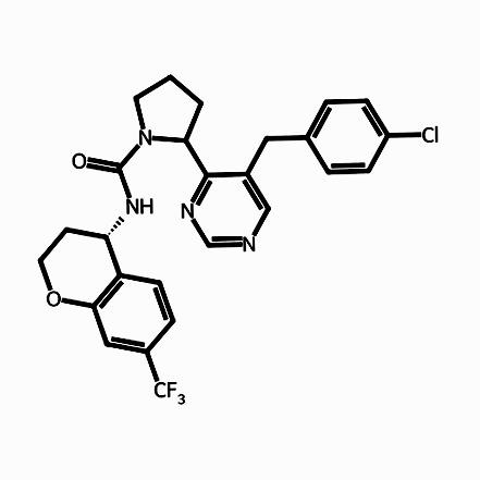 O=C(N[C@H]1CCOc2cc(C(F)(F)F)ccc21)N1CCCC1c1ncncc1Cc1ccc(Cl)cc1